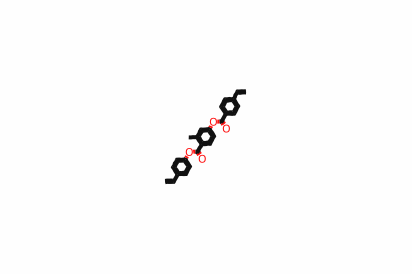 C=Cc1ccc(OC(=O)c2ccc(OC(=O)c3ccc(C=C)cc3)cc2C)cc1